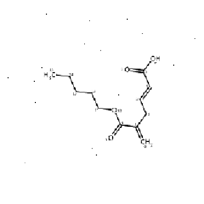 C=C(CC=CC(=O)O)C(=O)OCCCCC